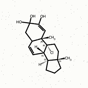 C[C@@]12CCC[C@H]1[C@@H]1C=CC3CC(O)(O)C(O)=C[C@]3(C)[C@@]1(Cl)CC2